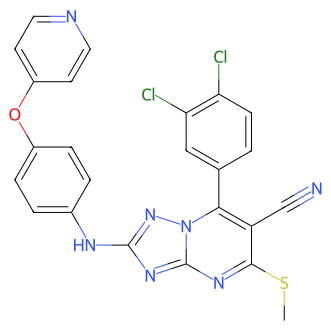 CSc1nc2nc(Nc3ccc(Oc4ccncc4)cc3)nn2c(-c2ccc(Cl)c(Cl)c2)c1C#N